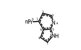 CCCc1ccnc2[nH]ccc12